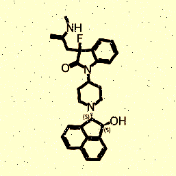 C=C(CC1(F)C(=O)N(C2CCN([C@H]3c4cccc5cccc(c45)[C@@H]3O)CC2)c2ccccc21)NC